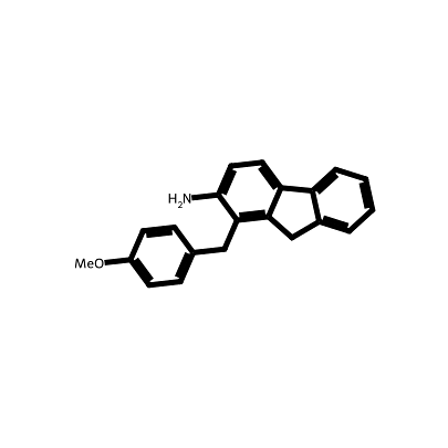 COc1ccc(Cc2c(N)ccc3c2Cc2ccccc2-3)cc1